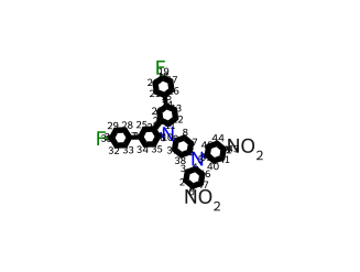 O=[N+]([O-])c1ccc(N(c2ccc(-n3c4ccc(-c5ccc(F)cc5)cc4c4cc(-c5ccc(F)cc5)ccc43)cc2)c2ccc([N+](=O)[O-])cc2)cc1